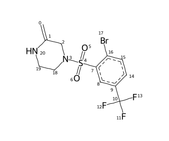 C=C1CN(S(=O)(=O)c2cc(C(F)(F)F)ccc2Br)CCN1